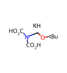 CC(C)(C)OCN(C(=O)O)C(=O)O.[KH]